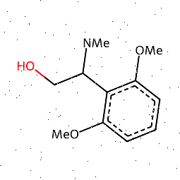 CNC(CO)c1c(OC)cccc1OC